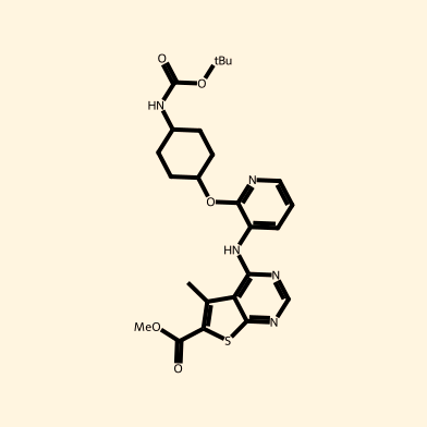 COC(=O)c1sc2ncnc(Nc3cccnc3OC3CCC(NC(=O)OC(C)(C)C)CC3)c2c1C